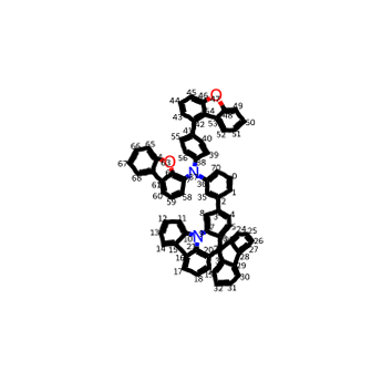 c1cc(-c2ccc3c(c2)-n2c4ccccc4c4cccc(c42)C32c3ccccc3-c3ccccc32)cc(N(c2ccc(-c3cccc4oc5ccccc5c34)cc2)c2cccc3c2oc2ccccc23)c1